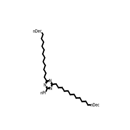 [CH2]CCc1nc(CCCCCCCCCCCCCCCCCCCCCC)nc(CCCCCCCCCCCCCCCCCCCCCC)n1